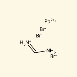 NC=[NH2+].[Br-].[Br-].[Br-].[Pb+2]